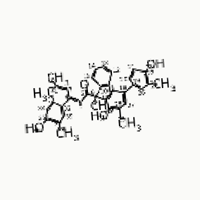 CC(C)=C/C(=C\C(=O)C(C)(c1ccccc1)c1cc(-c2ccc(O)c(C)c2)cc(C)c1O)c1ccc(O)c(C)c1